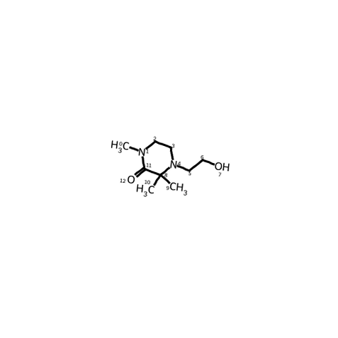 CN1CCN(CCO)C(C)(C)C1=O